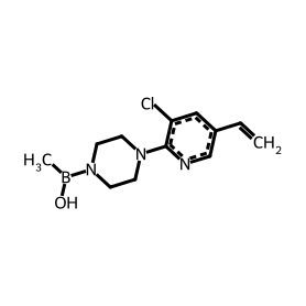 C=Cc1cnc(N2CCN(B(C)O)CC2)c(Cl)c1